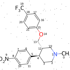 CN1CC[C@@H](c2ccc([N+](=O)[O-])cc2)[C@H](COc2ccc(C(F)(F)F)cc2)C1